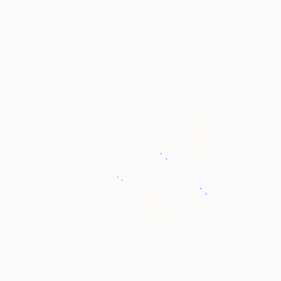 CCSN(SCC)C(=O)NC(=N)Oc1ccccc1